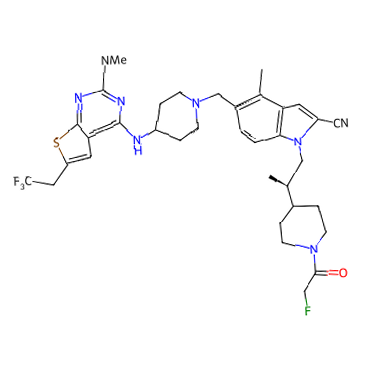 CNc1nc(NC2CCN(Cc3ccc4c(cc(C#N)n4C[C@H](C)C4CCN(C(=O)CF)CC4)c3C)CC2)c2cc(CC(F)(F)F)sc2n1